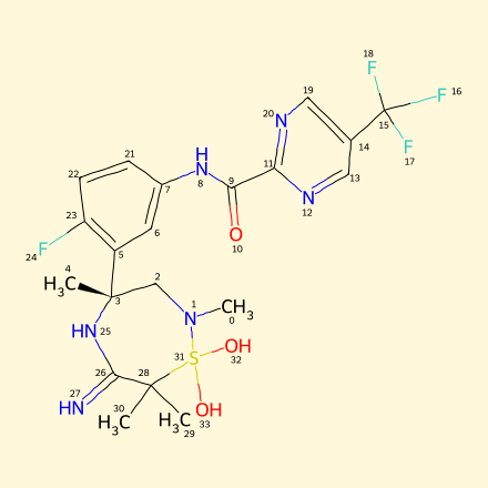 CN1C[C@@](C)(c2cc(NC(=O)c3ncc(C(F)(F)F)cn3)ccc2F)NC(=N)C(C)(C)S1(O)O